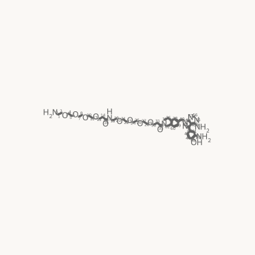 NCCOCCOCCOCCOCCC(=O)NCCOCCOCCOCCOCCC(=O)N1CCc2cc(Cn3nc(-c4ccc(O)c(N)c4)c4c(N)ncnc43)ccc2C1